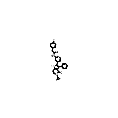 O=C(Cc1ccc(F)cc1)Nc1cc(-c2[nH]c3ccn(C4CC4)c(=O)c3c2-c2ccccc2)ccn1